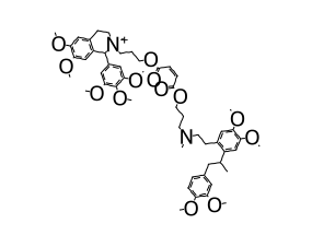 COc1ccc(CC(C)c2cc(OC)c(OC)cc2CCN(C)CCCOC(=O)/C=C\C(=O)OCCC[N+]2(C)CCc3cc(OC)c(OC)cc3C2c2cc(OC)c(OC)c(OC)c2)cc1OC